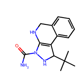 CC(C)(C)C1NN(C(N)=O)C2=C1c1ccccc1CN2